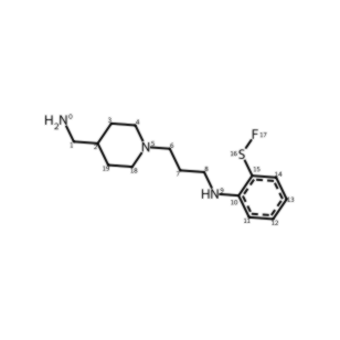 NCC1CCN(CCCNc2ccccc2SF)CC1